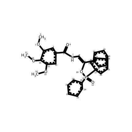 COc1cc(C(=O)NC=C(OP(=O)(c2ccccc2)c2ccccc2)c2ccccc2)cc(OC)c1OC